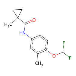 Cc1cc(NC(=O)C2(C)CC2)ccc1OC(F)F